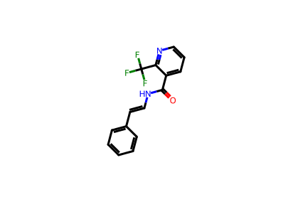 O=C(NC=Cc1ccccc1)c1cccnc1C(F)(F)F